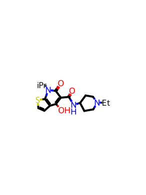 CCN1CCC(NC(=O)c2c(O)c3ccsc3n(C(C)C)c2=O)CC1